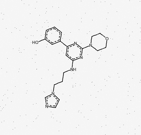 Oc1cccc(-c2cc(NCCCn3ccnc3)nc(N3CCOCC3)n2)c1